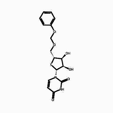 O=c1ccn([C@@H]2S[C@H](COCOc3ccccc3)[C@@H](O)[C@H]2O)c(=O)[nH]1